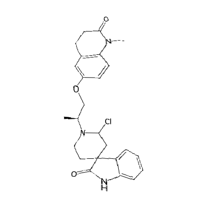 C[C@@H](COc1ccc2c(c1)CCC(=O)N2C)N1CCC2(CC1Cl)C(=O)Nc1ccccc12